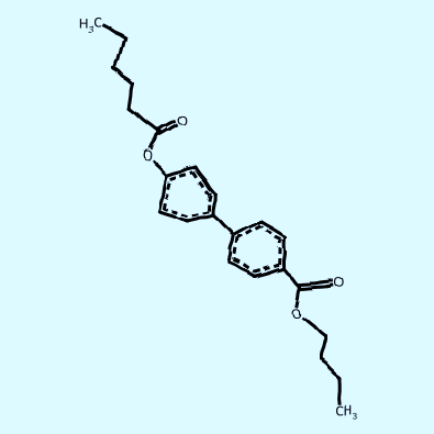 CCCCCC(=O)Oc1ccc(-c2ccc(C(=O)OCCCC)cc2)cc1